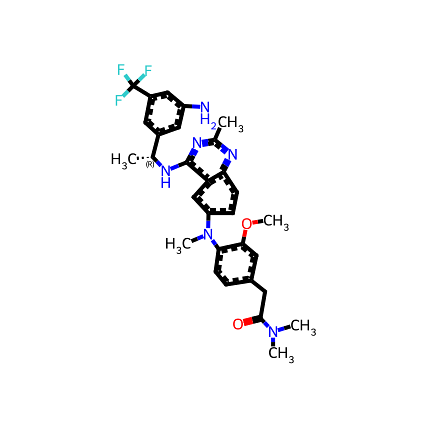 COc1cc(CC(=O)N(C)C)ccc1N(C)c1ccc2nc(C)nc(N[C@H](C)c3cc(N)cc(C(F)(F)F)c3)c2c1